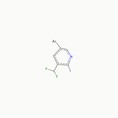 CC(=O)c1cnc(I)c(C(F)F)c1